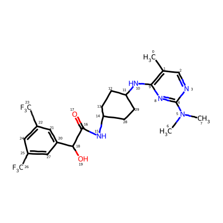 Cc1cnc(N(C)C)nc1NC1CCC(NC(=O)C(O)c2cc(C(F)(F)F)cc(C(F)(F)F)c2)CC1